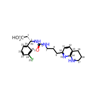 O=C(O)C[C@H](NC(=O)NCCCc1ccc2c(n1)NCCC2)c1cccc(F)c1